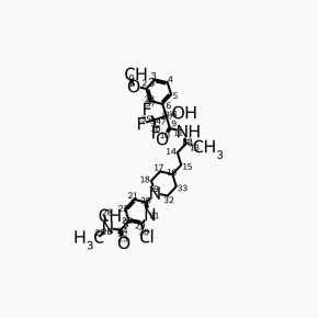 COc1cccc([C@@](O)(C(=O)N[C@H](C)CCC2CCN(c3ccc(C(=O)N(C)C)c(Cl)n3)CC2)C(F)(F)F)c1